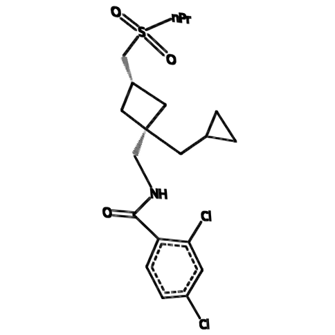 CCCS(=O)(=O)C[C@H]1C[C@](CNC(=O)c2ccc(Cl)cc2Cl)(CC2CC2)C1